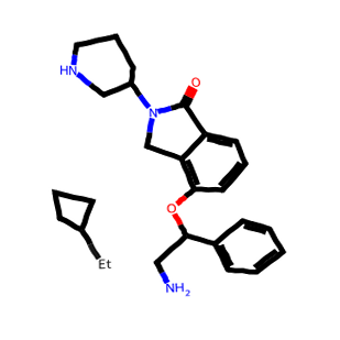 CCC1CCC1.NCC(Oc1cccc2c1CN(C1CCCNC1)C2=O)c1ccccc1